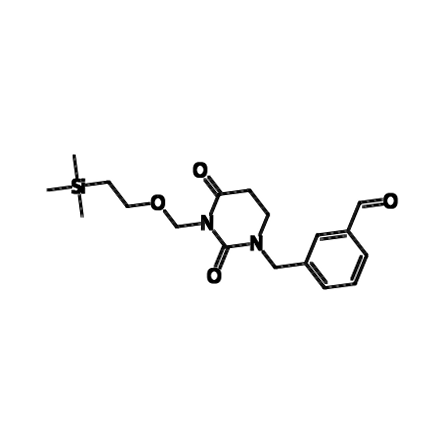 C[Si](C)(C)CCOCN1C(=O)CCN(Cc2cccc(C=O)c2)C1=O